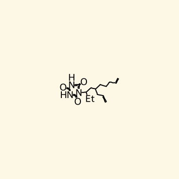 C=CCCCC(CC=C)CC(CC)n1c(=O)[nH]c(=O)[nH]c1=O